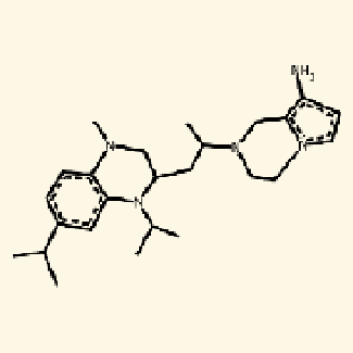 CC(C)c1ccc2c(c1)N(C(C)C)C(CC(C)N1CCn3ccc(N)c3C1)CN2C